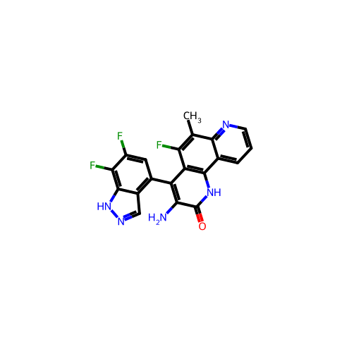 Cc1c(F)c2c(-c3cc(F)c(F)c4[nH]ncc34)c(N)c(=O)[nH]c2c2cccnc12